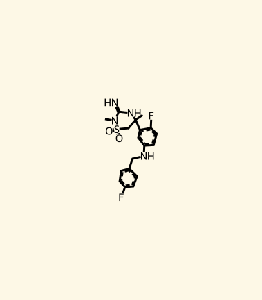 CN1C(=N)NC(C)(c2cc(NCc3ccc(F)cc3)ccc2F)CS1(=O)=O